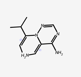 C/C=C(/C(C)C)N1N=CN=C(N)/C1=C/N